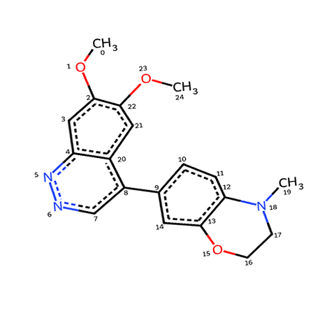 COc1cc2nncc(-c3ccc4c(c3)OCCN4C)c2cc1OC